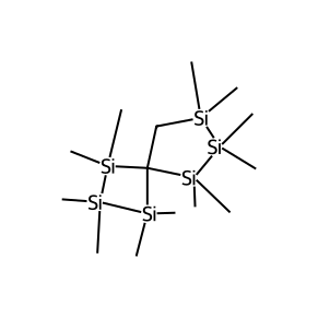 C[Si]1(C)CC2([Si](C)(C)[Si]1(C)C)[Si](C)(C)[Si](C)(C)[Si]2(C)C